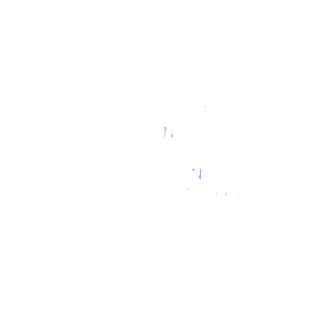 Cc1ccc2c(c1)C(CN1CCOCC1)(CN1CCOCC1)c1cc(C)ccc1-2